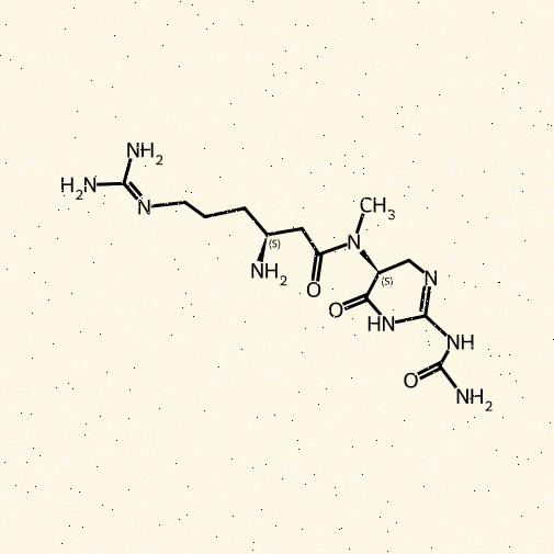 CN(C(=O)C[C@@H](N)CCCN=C(N)N)[C@H]1CN=C(NC(N)=O)NC1=O